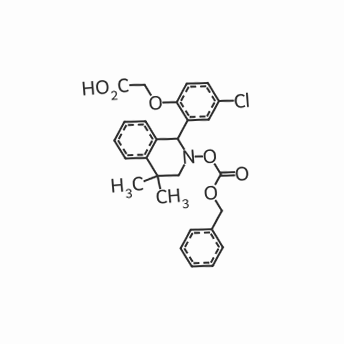 CC1(C)CN(OC(=O)OCc2ccccc2)C(c2cc(Cl)ccc2OCC(=O)O)c2ccccc21